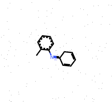 Cc1ccccc1/N=C1/C=CC=CC1